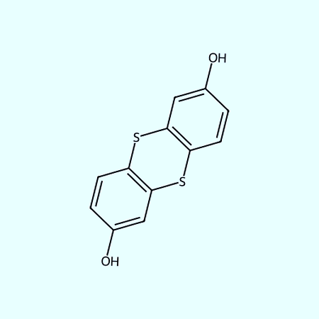 Oc1ccc2c(c1)Sc1ccc(O)cc1S2